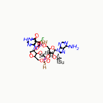 CC(C)(C)[Si](C)(C)OC1[C@@H]2OP(=O)(S)OCC3OC[C@](n4cc(F)c5c(=O)[nH]cnc54)(OP(=O)(S)OCC2O[C@H]1n1cnc2c(N)ncnc21)C3O[Si](C)(C)C(C)(C)C